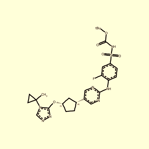 CC(C)(C)OC(=O)NS(=O)(=O)c1ccc(Nc2ncc([C@@H]3CC[C@H](Oc4nncn4C4(C)CC4)C3)cn2)c(F)c1